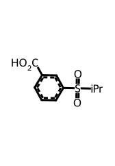 CC(C)S(=O)(=O)c1cccc(C(=O)O)c1